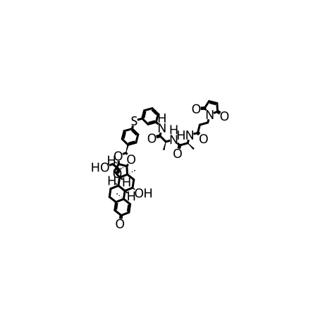 C[C@H](NC(=O)CCN1C(=O)C=CC1=O)C(=O)N[C@@H](C)C(=O)Nc1cccc(Sc2ccc([C@@H]3O[C@@H]4C[C@H]5[C@@H]6CCC7=CC(=O)C=C[C@]7(C)[C@H]6[C@@H](O)C[C@]5(C)[C@]4(C(=O)CO)O3)cc2)c1